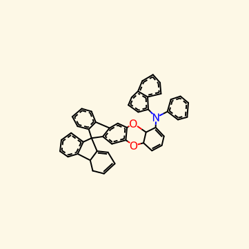 C1=CCC2C(=C1)C1(c3ccccc3-c3cc4c(cc31)OC1C=CC=C(N(c3ccccc3)c3cccc5ccccc35)C1O4)c1ccccc12